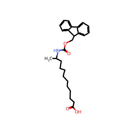 CC(CCCCCCCCCC(=O)O)NC(=O)OCC1c2ccccc2-c2ccccc21